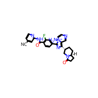 N#Cc1ccnc(NC(=O)c2ccc(C3=NC([C@@H]4CC[C@H]5CCC(=O)N5C4)=C4C=NC=C[N+]34N)cc2F)c1